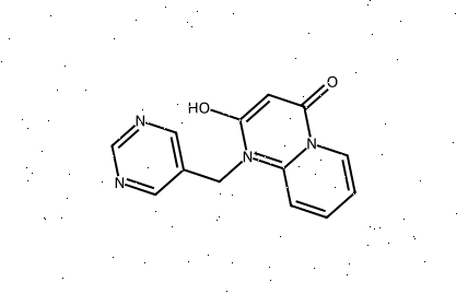 O=c1cc(O)[n+](Cc2cncnc2)c2ccccn12